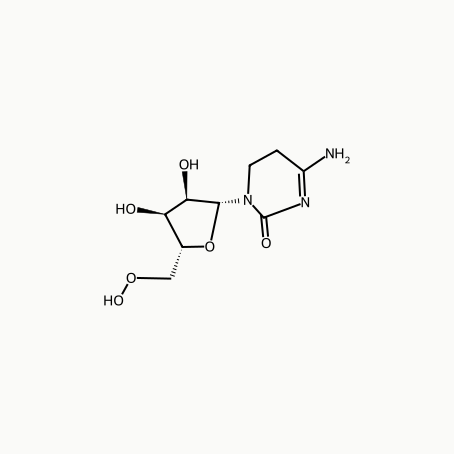 NC1=NC(=O)N([C@@H]2O[C@H](COO)[C@@H](O)[C@H]2O)CC1